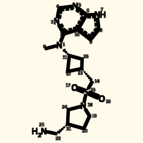 CN(c1ncnc2[nH]ccc12)[C@H]1C[C@@H](CS(=O)(=O)N2CC[C@H](CN)C2)C1